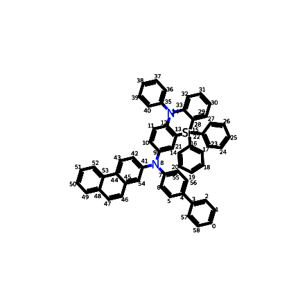 c1ccc(-c2ccc(N(c3ccc4c(c3)[Si](c3ccccc3)(c3ccccc3)c3ccccc3N4c3ccccc3)c3ccc4c(ccc5ccccc54)c3)cc2)cc1